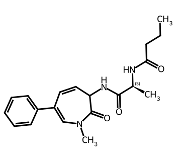 CCCC(=O)N[C@@H](C)C(=O)NC1C=CC(c2ccccc2)=CN(C)C1=O